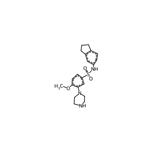 COc1ccc(S(=O)(=O)Nc2ccc3c(c2)CCC3)cc1N1CCNCC1